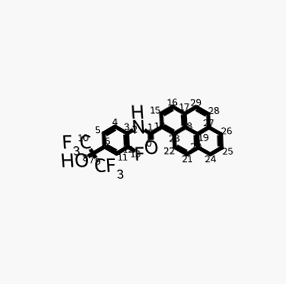 O=C(Nc1ccc(C(O)(C(F)(F)F)C(F)(F)F)cc1F)c1ccc2c3c4c(ccc13)CC=CC4C=C2